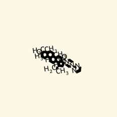 C=C(C)[C@@H]1CC[C@]2(C(=O)N3CCN(c4ncccn4)CC3)CC[C@]3(C)C(CC[C@@H]4[C@@]5(C)CCC(=O)C(C)(C)C5CC[C@]43C)[C@@H]12